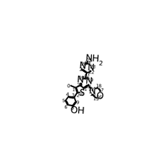 Cc1c(-c2cccc(O)c2)sc2c(N3CCOCC3)nc(-c3cnc(N)nc3)nc12